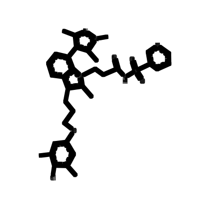 Cc1cc(OCCCc2c(C)n(CCC(=O)NS(=O)(=O)c3cccnc3)c3c(-c4c(C)nn(C)c4C)cccc23)cc(C)c1Cl